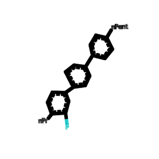 CCCCCc1ccc(-c2ccc(-c3ccc(CCC)c(F)c3)cc2)cc1